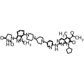 CC(=O)c1c(C)c2cnc(Nc3ccc(N4CCC(N5CCN(c6cccc7c(N8CCC(=O)NC8=O)nn(C)c67)CC5)CC4)cn3)nc2n(C2CCCC2)c1=O